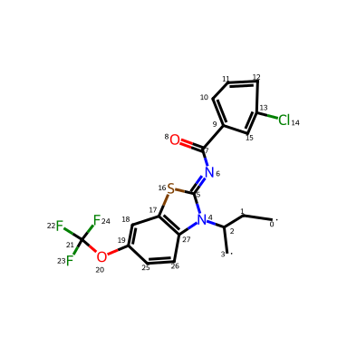 [CH2]CC([CH2])n1c(=NC(=O)c2cccc(Cl)c2)sc2cc(OC(F)(F)F)ccc21